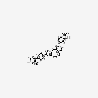 Cc1nc2ccc(-c3ccc4c(c3)C/C=C(/CC(=O)N3CCN(c5ccccc5Cl)CC3)CCO4)cc2[nH]1